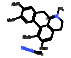 C=[N+]=[N-].COc1cc2c(cc1OC)-c1c(OC)c(OC)cc3c1[C@H](C2)N(C)CC3